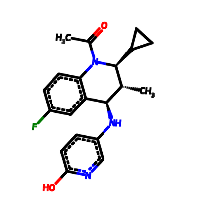 CC(=O)N1c2ccc(F)cc2[C@H](Nc2ccc(O)nc2)[C@@H](C)[C@@H]1C1CC1